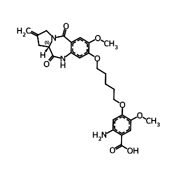 C=C1C[C@H]2C(=O)Nc3cc(OCCCCCOc4cc(N)c(C(=O)O)cc4OC)c(OC)cc3C(=O)N2C1